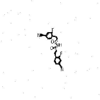 N#Cc1ccc(/C=C\[S+]([O-])N[S+]([O-])/C=C/c2ccc(C#N)cc2F)c(F)c1